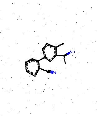 CC(=N)c1cc(-c2ccccc2C#N)ccc1C